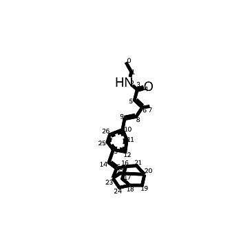 CCNC(=O)C=C(C)C=Cc1ccc(C=C2C3CC4CC(C3)CC2C4)cc1